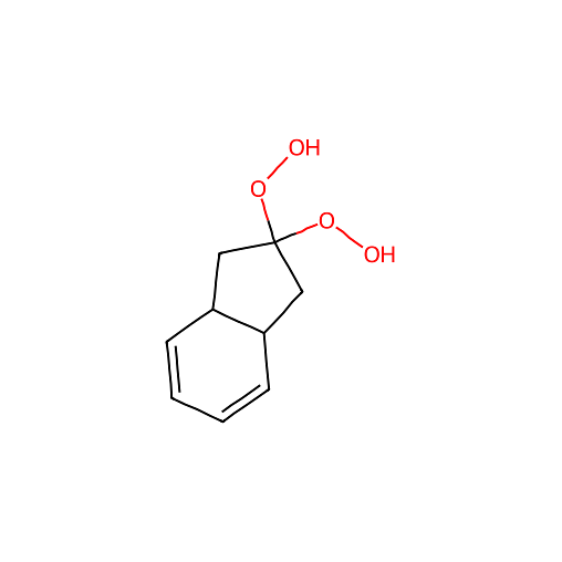 OOC1(OO)CC2C=CC=CC2C1